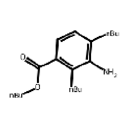 CCCCOC(=O)c1ccc(CCCC)c(N)c1CCCC